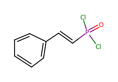 O=P(Cl)(Cl)C=Cc1ccccc1